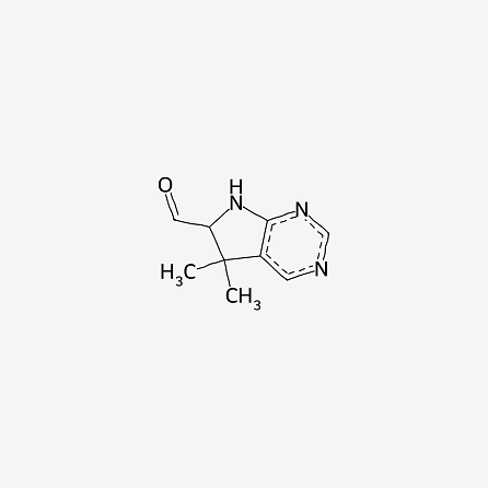 CC1(C)c2cncnc2NC1C=O